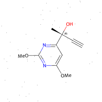 C#C[C@@](C)(O)c1cc(OC)nc(OC)n1